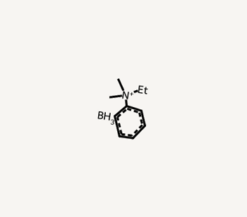 B.CC[N+](C)(C)c1ccccc1